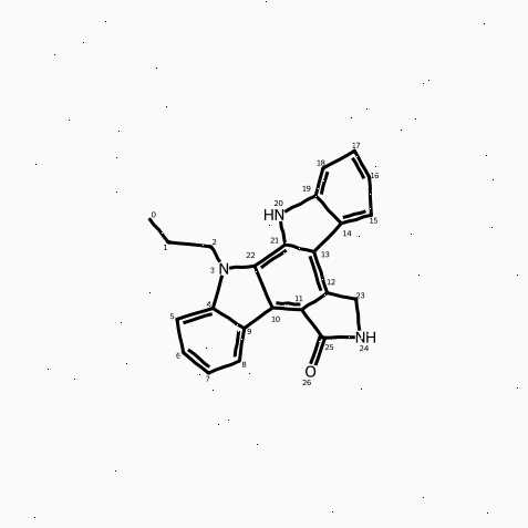 CCCn1c2ccccc2c2c3c(c4c5ccccc5[nH]c4c21)CNC3=O